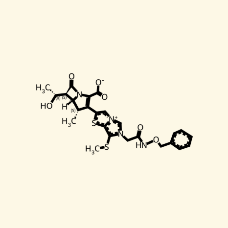 CSc1c2sc(C3=C(C(=O)[O-])N4C(=O)[C@H]([C@@H](C)O)[C@H]4[C@H]3C)c[n+]2cn1CC(=O)NOCc1ccccc1